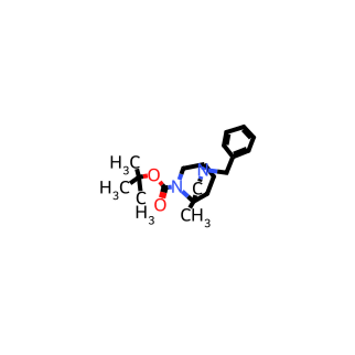 CC(C)(C)OC(=O)N1CC2CCC1(C)CN2Cc1ccccc1